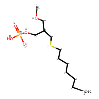 CCCCCCCCCCCCCCCCSCC(COCC)COP(=O)(O)O